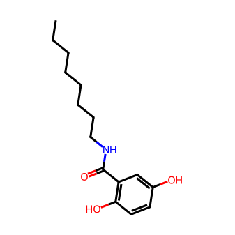 CCCCCCCCNC(=O)c1cc(O)ccc1O